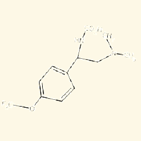 CN(C)CC(NC(=O)O)c1ccc(OC(F)(F)F)cc1